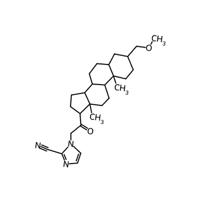 COCC1CCC2(C)C(CCC3C2CCC2(C)C(C(=O)Cn4ccnc4C#N)CCC32)C1